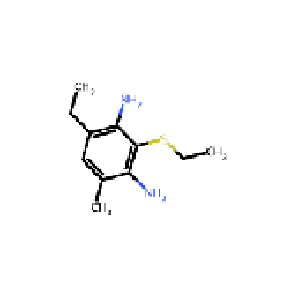 CCSc1c(N)c(C)cc(CC)c1N